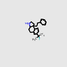 CC(F)(c1ccc2c(c1)CCC1NCCC21CCc1ccccc1)C(F)(F)F